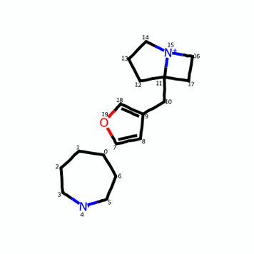 C1CCC[N]CC1.c1cc(CC23CCC[N+]2CC3)co1